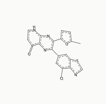 Cc1ccc(-c2nc3[nH]ccc(=O)c3nc2-c2cc(Cl)c3ncsc3c2)o1